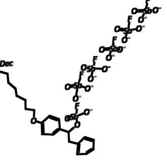 CCCCCCCCCCCCCCCCCCOc1ccc(C(Cc2ccccc2)[O][Sb](=[O])([O-])[F])cc1.[O]=[Sb]([O-])([O-])[F].[O]=[Sb]([O-])([O-])[F].[O]=[Sb]([O-])([O-])[F].[O]=[Sb]([O-])([O-])[F].[O]=[Sb]([O-])([O-])[F]